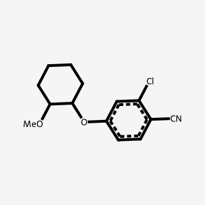 COC1CCCCC1Oc1ccc(C#N)c(Cl)c1